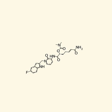 CN(C)C(=O)O[C@@H](CC/C=C/C(N)=O)C(=O)Nc1cccn(Cc2cc3cc(F)ccc3[nH]2)c1=O